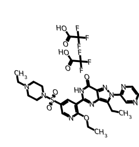 CCOc1ncc(S(=O)(=O)N2CCN(CC)CC2)cc1-c1nc2c(CC)n(-c3cnccn3)nc2c(=O)[nH]1.O=C(O)C(F)(F)F.O=C(O)C(F)(F)F